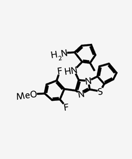 COc1cc(F)c(-c2nc3sc4ccccc4n3c2Nc2c(C)cccc2N)c(F)c1